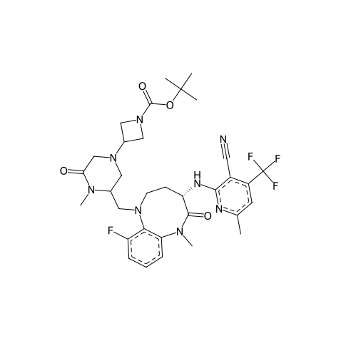 Cc1cc(C(F)(F)F)c(C#N)c(N[C@H]2CCN(CC3CN(C4CN(C(=O)OC(C)(C)C)C4)CC(=O)N3C)c3c(F)cccc3N(C)C2=O)n1